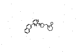 O=C1CCCCN1C[C@H]1CCN(c2nccc(-c3ccc4ccccc4c3)n2)C1